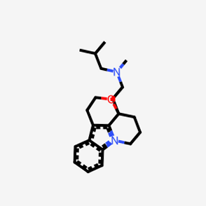 CC(C)CN(C)CCC12CCCn3c1c(c1ccccc13)CCO2